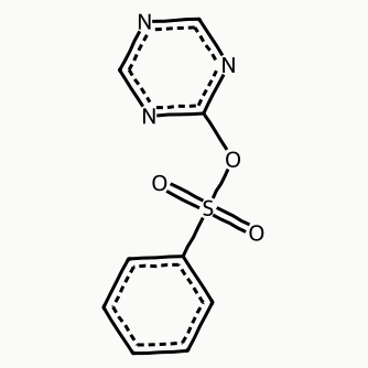 O=S(=O)(Oc1ncncn1)c1ccccc1